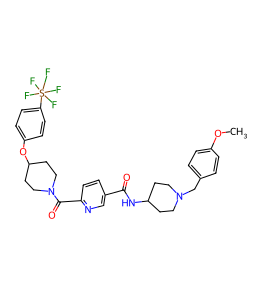 COc1ccc(CN2CCC(NC(=O)c3ccc(C(=O)N4CCC(Oc5ccc(S(F)(F)(F)(F)F)cc5)CC4)nc3)CC2)cc1